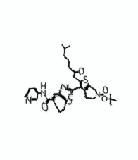 CC(C)CCCC(=O)Cc1sc2c(c1-c1nc3cc(C(=O)Nc4cccnc4)ccc3s1)CCN(C(=O)OC(C)(C)C)C2